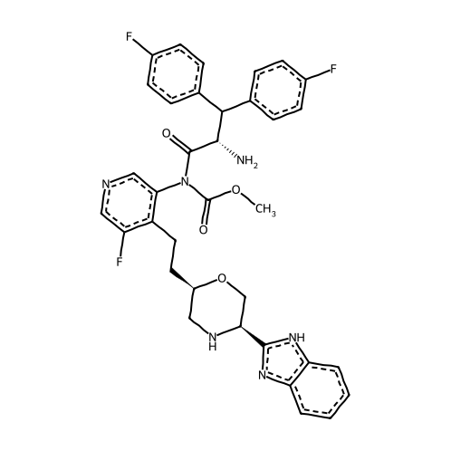 COC(=O)N(C(=O)[C@@H](N)C(c1ccc(F)cc1)c1ccc(F)cc1)c1cncc(F)c1CC[C@@H]1CN[C@H](c2nc3ccccc3[nH]2)CO1